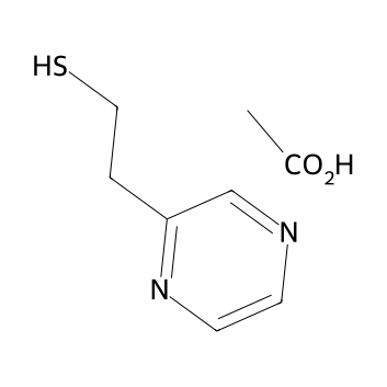 CC(=O)O.SCCc1cnccn1